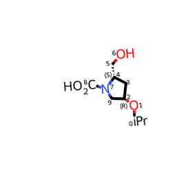 CC(C)O[C@@H]1C[C@@H](CO)N(C(=O)O)C1